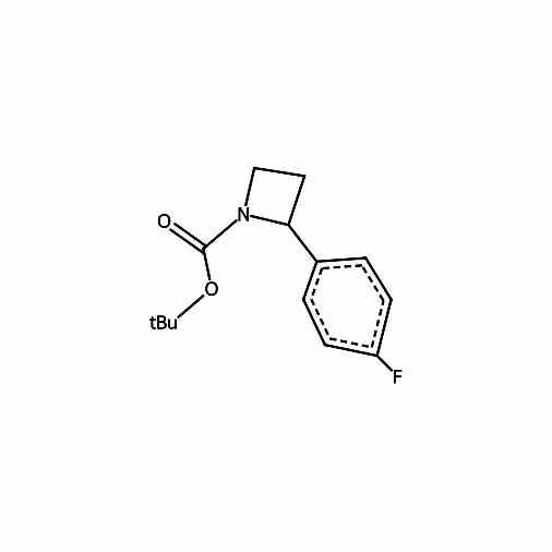 CC(C)(C)OC(=O)N1CCC1c1ccc(F)cc1